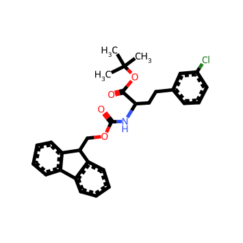 CC(C)(C)OC(=O)C(CCc1cccc(Cl)c1)NC(=O)OCC1c2ccccc2-c2ccccc21